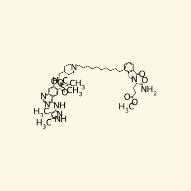 COC(=O)CCC(C(N)=O)N1Cc2c(CCCCCCCCCCN3CCC(CCOc4cc5ncnc(Nc6n[nH]c(C)c6C)c5cc4S(=O)(=O)C(C)(C)C)CC3)cccc2C1=O